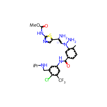 COC(=O)Nc1ncc(/C(N)=C/N(N)c2cc(C(=O)Nc3cc(CNC(C)C)c(Cl)c(C(F)(F)F)c3)ccc2C)s1